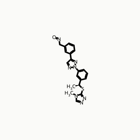 C[C@H](Sc1nncn1C)c1cccc(-n2ncc(-c3cccc(CN=O)c3)n2)c1